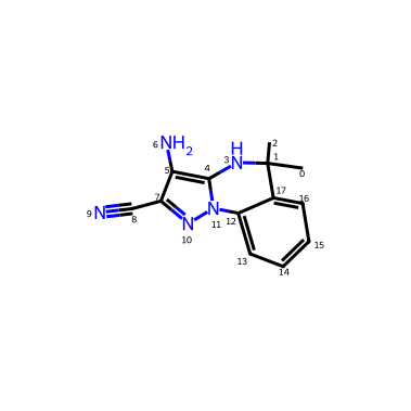 CC1(C)Nc2c(N)c(C#N)nn2-c2ccccc21